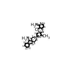 Cc1nc(N2CCC3(CC2)Cc2ccccc2[C@H]3N)cnc1Sc1ccnc(N)c1Cl